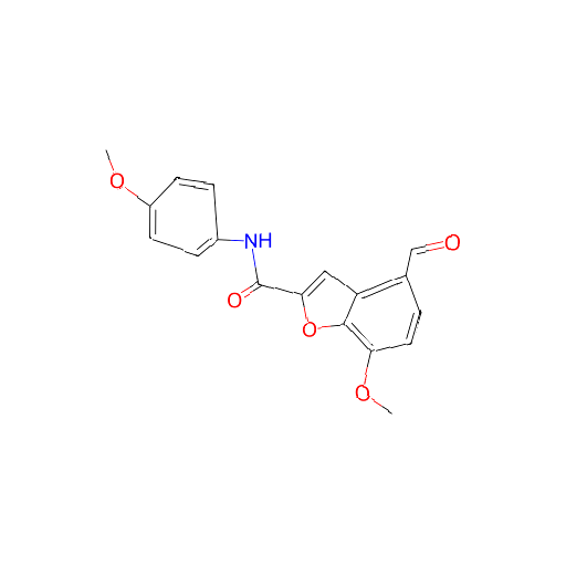 COc1ccc(NC(=O)c2cc3c(C=O)ccc(OC)c3o2)cc1